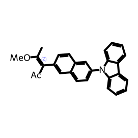 CO/C(C)=C(\C(C)=O)c1ccc2cc(-n3c4ccccc4c4ccccc43)ccc2c1